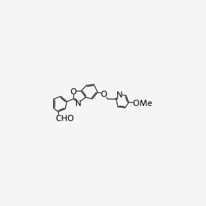 COc1ccc(COc2ccc3oc(-c4cccc(C=O)c4)nc3c2)nc1